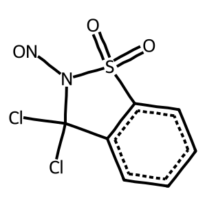 O=[15N]N1C(Cl)(Cl)c2ccccc2S1(=O)=O